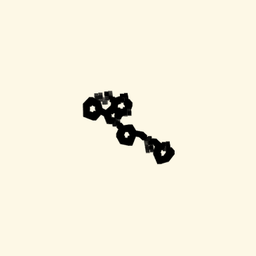 Nc1ncnc2c1c(-c1ccccc1)cn2-c1cccc(CNCc2ccccn2)c1